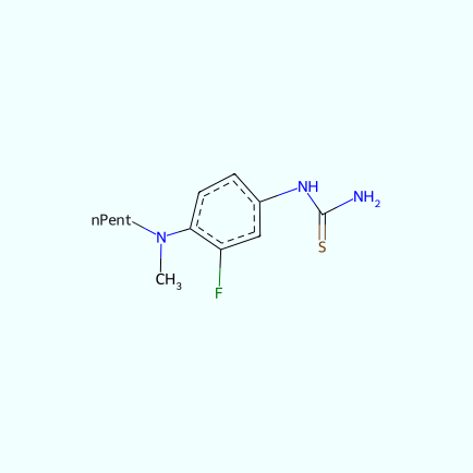 CCCCCN(C)c1ccc(NC(N)=S)cc1F